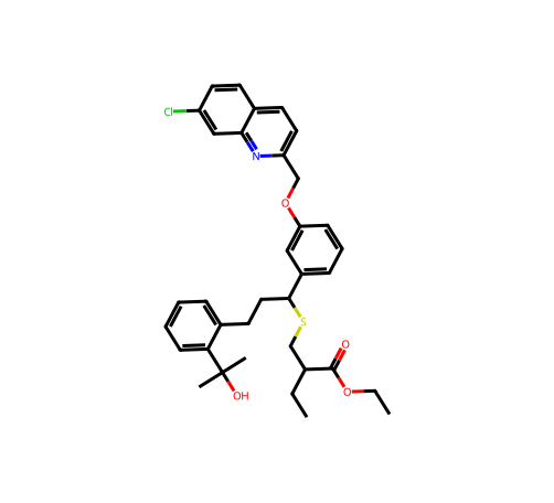 CCOC(=O)C(CC)CSC(CCc1ccccc1C(C)(C)O)c1cccc(OCc2ccc3ccc(Cl)cc3n2)c1